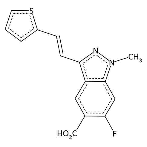 Cn1nc(/C=C/c2cccs2)c2cc(C(=O)O)c(F)cc21